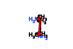 CCCCC(c1ccc(CCCCCCCCCCCCCCCCCCCc2ccc(C(CCCC)c3ccc(N)cc3C)cc2)cc1)c1ccc(N)cc1C